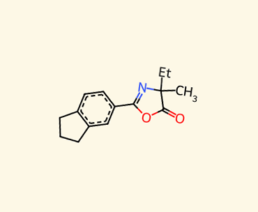 CCC1(C)N=C(c2ccc3c(c2)CCC3)OC1=O